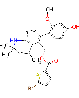 COc1cc(O)ccc1-c1ccc2c(c1COC(=O)c1ccc(Br)s1)C(C)=CC(C)(C)N2